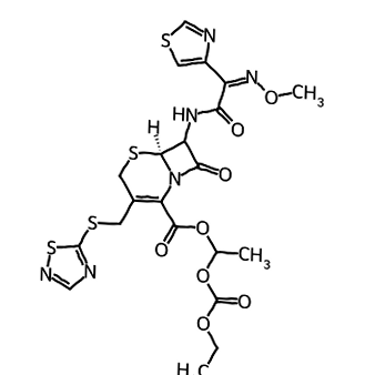 CCOC(=O)OC(C)OC(=O)C1=C(CSc2ncns2)CS[C@H]2C(NC(=O)/C(=N\OC)c3cscn3)C(=O)N12